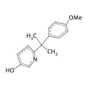 COc1ccc(C(C)(C)c2ccc(O)cn2)cc1